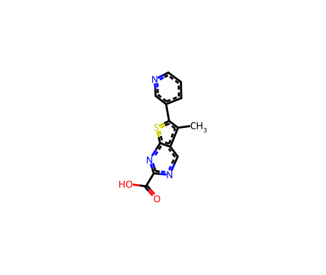 Cc1c(-c2cccnc2)sc2nc(C(=O)O)ncc12